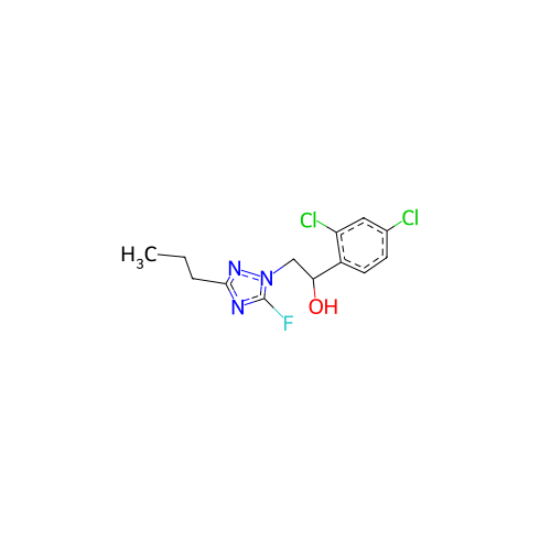 CCCc1nc(F)n(CC(O)c2ccc(Cl)cc2Cl)n1